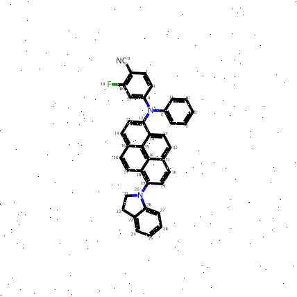 N#Cc1ccc(N(c2ccccc2)c2ccc3ccc4c(N5CCc6ccccc65)ccc5ccc2c3c54)cc1F